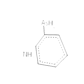 N.[AsH2]c1ccccc1